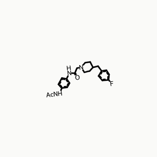 CC(=O)Nc1ccc(NC(=O)CN2CCC(Cc3ccc(F)cc3)CC2)cc1